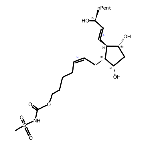 CCCCC[C@H](O)/C=C/[C@@H]1[C@@H](C/C=C\CCCCOC(=O)NS(C)(=O)=O)[C@@H](O)C[C@H]1O